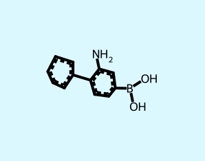 Nc1cc(B(O)O)ccc1-c1ccccc1